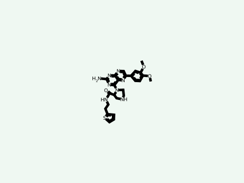 COc1ccc(-c2cnc3nc(N)nc(N4CCNCC4C(=O)NCCc4cccs4)c3n2)cc1OC